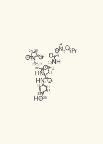 CC(C)OCN(C)OCC(=O)NCCCC[C@H](NC(=O)CCCN1C(=O)C=CC1=O)C(=O)Nc1ccc(CO)cc1